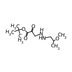 COC(C)CNNCC(=O)C(=O)OC(C)(C)C